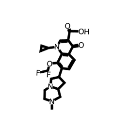 CN1CCN2CC(c3ccc4c(=O)c(C(=O)O)cn(C5CC5)c4c3OC(F)F)CC2C1